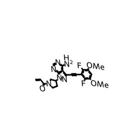 C=CC(=O)N1CCC(n2nc(C#Cc3c(F)c(OC)cc(OC)c3F)c3c(N)ncnc32)C1